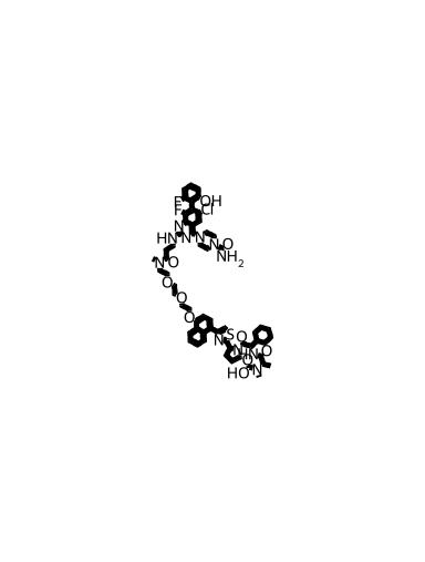 CC(C(=O)N[C@H](C(=O)N1CCCC1c1nc(-c2ccc(OCCOCCOCCN(C)C(=O)CCNc3nc(N4CCN(C(N)=O)CC4)c4cc(Cl)c(-c5c(O)cccc5F)c(F)c4n3)c3ccccc23)cs1)C1CCCCC1)N(C)C(=O)O